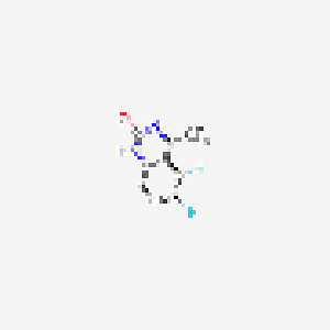 O=c1nc(C(F)(F)F)c2c(F)c(F)ccc2[nH]1